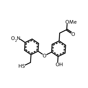 COC(=O)Cc1ccc(O)c(Oc2ccc([N+](=O)[O-])cc2CS)c1